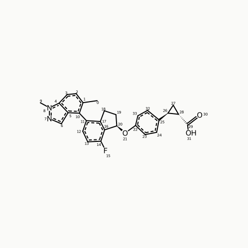 Cc1ccc2c(cnn2C)c1-c1ccc(F)c2c1CC[C@H]2Oc1ccc([C@H]2C[C@@H]2C(=O)O)cc1